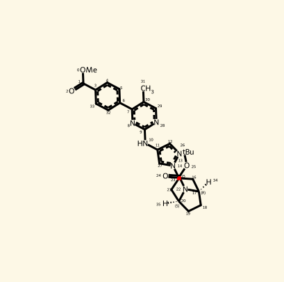 COC(=O)c1ccc(-c2nc(Nc3cnn(C4C[C@H]5CC[C@@H](C4)N5C(=O)OC(C)(C)C)c3)ncc2C)cc1